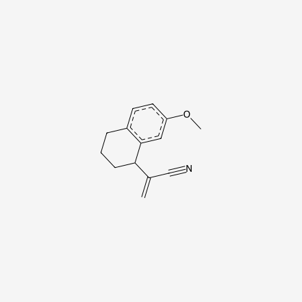 C=C(C#N)C1CCCc2ccc(OC)cc21